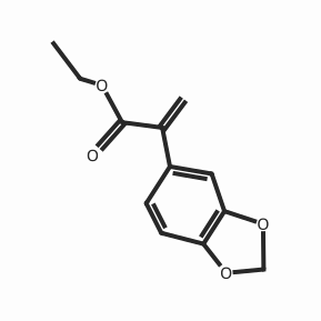 C=C(C(=O)OCC)c1ccc2c(c1)OCO2